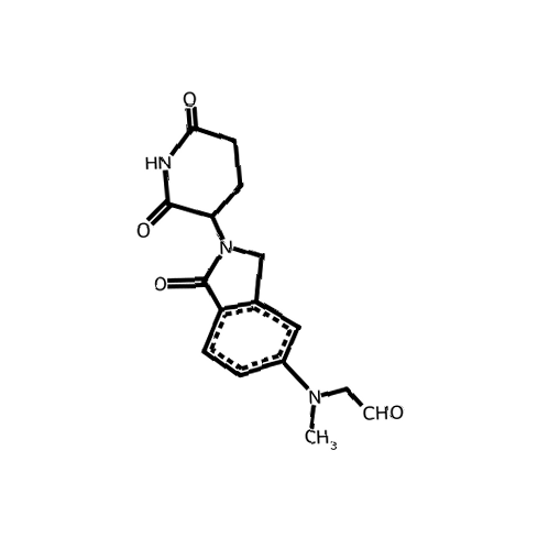 CN(CC=O)c1ccc2c(c1)CN(C1CCC(=O)NC1=O)C2=O